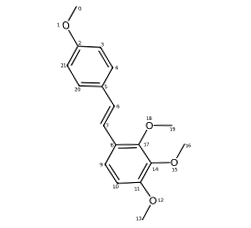 COc1ccc(C=Cc2ccc(OC)c(OC)c2OC)cc1